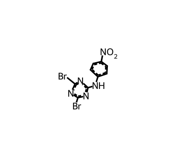 O=[N+]([O-])c1ccc(Nc2nc(Br)nc(Br)n2)cc1